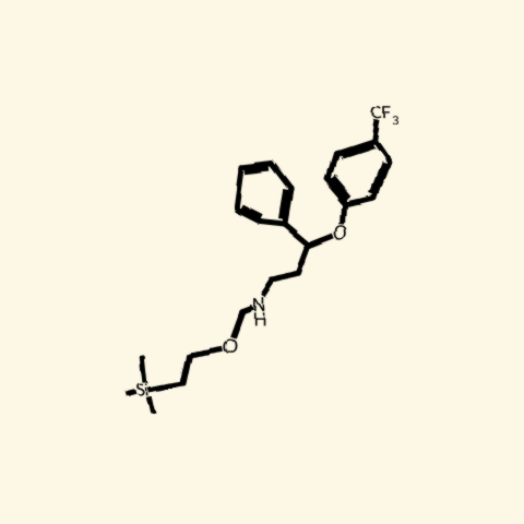 C[Si](C)(C)CCOCNCCC(Oc1ccc(C(F)(F)F)cc1)c1ccccc1